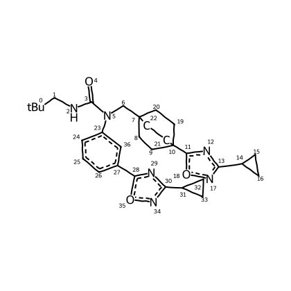 CC(C)(C)CNC(=O)N(CC12CCC(c3nc(C4CC4)no3)(CC1)CC2)c1cccc(-c2nc(C3CC3)no2)c1